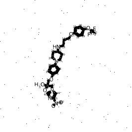 CC1(COc2ccc(N3CCC(NCCCOc4ccc(OC(F)(F)F)cc4)CC3)cc2)Cn2cc([N+](=O)[O-])nc2O1